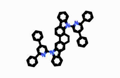 c1ccc(-c2cc(-c3ccccc3)nc(-n3c4ccccc4c4cc5c(cc43)-c3ccc4c6ccccc6n(-c6cc(-c7ccccc7)cc(-c7ccccc7)n6)c4c3CC5)c2)cc1